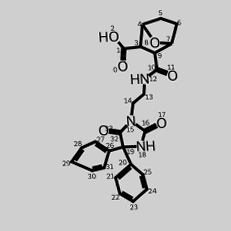 O=C(O)C1C2CCC(O2)C1C(=O)NCCN1C(=O)NC(c2ccccc2)(c2ccccc2)C1=O